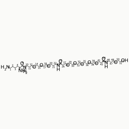 NCCCC[C@H](N)C(=O)NCCCOCCOCCOCCCNC(=O)CCOCCOCCOCCOCCOCCC(=O)NCCCOCCO